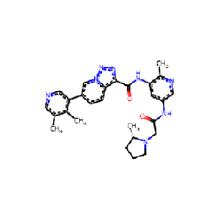 Cc1cncc(-c2ccc3c(C(=O)Nc4cc(NC(=O)CN5CCC[C@@H]5C)cnc4C)nnn3c2)c1C